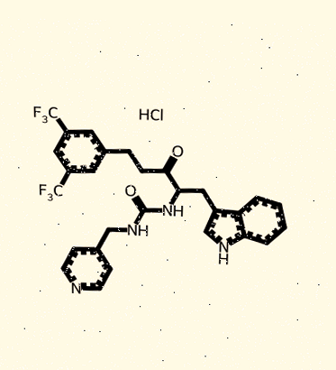 Cl.O=C(NCc1ccncc1)NC(Cc1c[nH]c2ccccc12)C(=O)CCc1cc(C(F)(F)F)cc(C(F)(F)F)c1